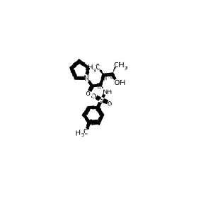 Cc1ccc(S(=O)(=O)N[C@H](C(=O)N2CCCC2)[C@@H](C)[C@H](C)O)cc1